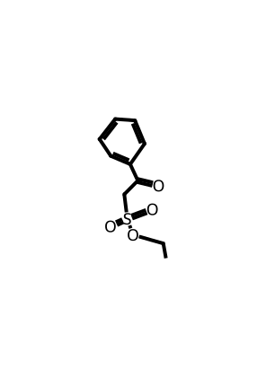 CCOS(=O)(=O)CC(=O)c1ccccc1